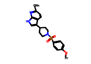 COc1ccc2c(C3CCN(S(=O)(=O)c4ccc(OC(C)C)cc4)CC3)c[nH]c2n1